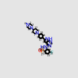 CN1CCN(C2CCN(c3ccc(-c4cc5c(Nc6cc(F)ccc6P(C)(C)=O)ncnc5[nH]4)cc3)CC2)CC1